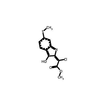 COC(=O)C(Cl)=C1N=c2cc(SC)ccc2=C1O